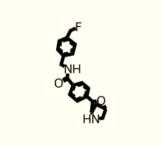 O=C(NCc1ccc(CF)cc1)c1ccc(C2OC3CNC2C3)cc1